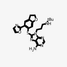 CC(C)(C)NCCCn1c(Sc2cc3c(cc2-c2ncco2)CCO3)nc2c(N)ncnc21